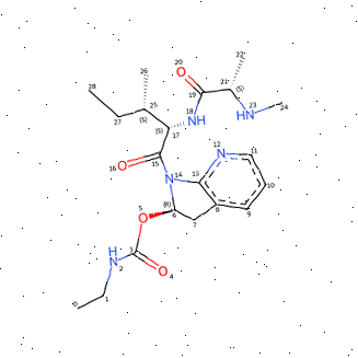 CCNC(=O)O[C@@H]1Cc2cccnc2N1C(=O)[C@@H](NC(=O)[C@H](C)NC)[C@@H](C)CC